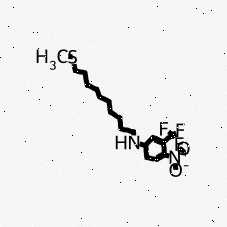 CSCCCCCCCCCCNC1C=C(C(F)(F)F)C([N+](=O)[O-])=CC1